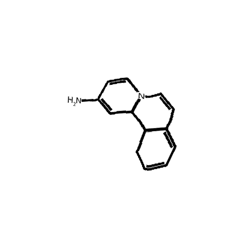 NC1=CC2C3CC=CC=C3C=CN2C=C1